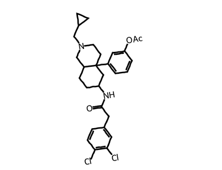 CC(=O)Oc1cccc(C23CCN(CC4CC4)CC2CCC(NC(=O)Cc2ccc(Cl)c(Cl)c2)C3)c1